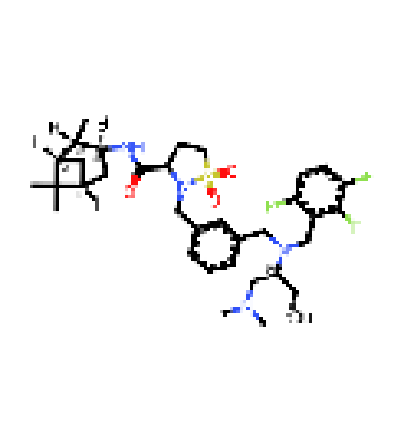 C[C@@H]1[C@@H](NC(=O)C2CCS(=O)(=O)N2Cc2cccc(CN(Cc3c(F)ccc(F)c3F)[C@H](CN(C)C)CC(C)(C)C)c2)C[C@H]2C[C@@H]1C2(C)C